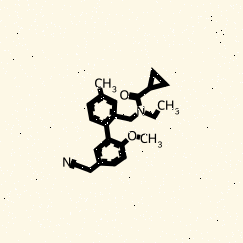 CCN(Cc1cc(C)ccc1-c1cc(CC#N)ccc1OC)C(=O)C1CC1